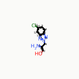 N/C(=C\O)Cn1nc2ccc(Cl)cc2n1